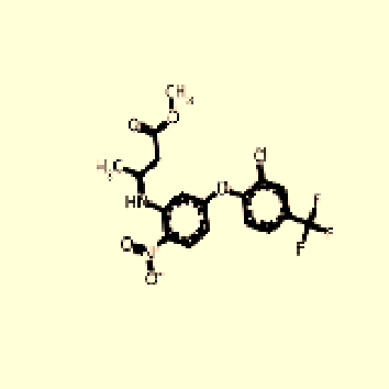 COC(=O)CC(C)Nc1cc(Oc2ccc(C(F)(F)F)cc2Cl)ccc1[N+](=O)[O-]